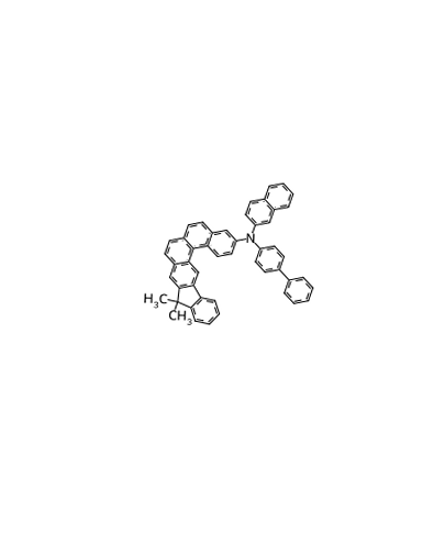 CC1(C)c2ccccc2-c2cc3c(ccc4ccc5cc(N(c6ccc(-c7ccccc7)cc6)c6ccc7ccccc7c6)ccc5c43)cc21